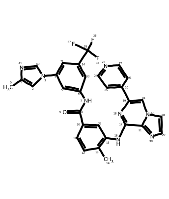 Cc1cn(-c2cc(NC(=O)c3ccc(C)c(Nc4nc(-c5ccncc5)cn5ccnc45)c3)cc(C(F)(F)F)c2)cn1